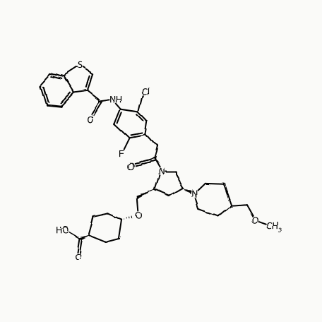 COCC1CCN([C@H]2C[C@@H](CO[C@H]3CC[C@H](C(=O)O)CC3)N(C(=O)Cc3cc(Cl)c(NC(=O)c4csc5ccccc45)cc3F)C2)CC1